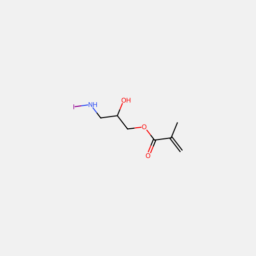 C=C(C)C(=O)OCC(O)CNI